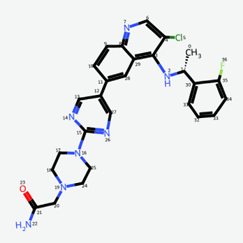 C[C@@H](Nc1c(Cl)cnc2ccc(-c3cnc(N4CCN(CC(N)=O)CC4)nc3)cc12)c1ccccc1F